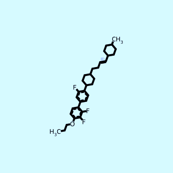 CCCOc1ccc(-c2ccc(C3CCC(CC/C=C/C4CCC(C)CC4)CC3)c(F)c2)c(F)c1F